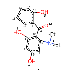 CCN(CC)c1cc(O)cc(O)c1C(=O)c1ccccc1O